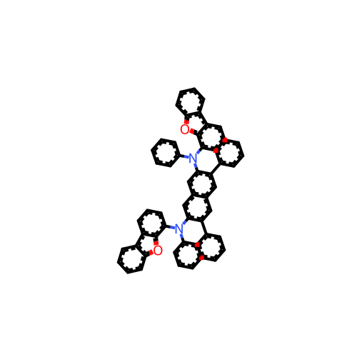 c1ccc(-c2cc3cc(-c4ccccc4)c(N(c4ccccc4)c4cccc5c4oc4ccccc45)cc3cc2N(c2ccccc2)c2cccc3c2oc2ccccc23)cc1